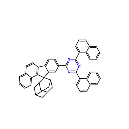 c1ccc2c(-c3nc(-c4ccc5c(c4)C4(c6c-5ccc5ccccc65)C5CC6CC(C5)CC4C6)nc(-c4cccc5ccccc45)n3)cccc2c1